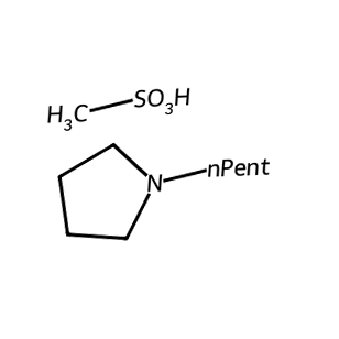 CCCCCN1CCCC1.CS(=O)(=O)O